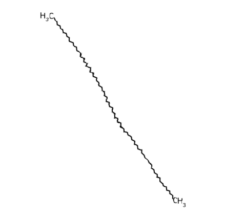 CCCCCCCCCCCCCCCCCCCCCCCCCCCCCCCCCCCCCCCCCCCCCCCCCCCCCCCCCCCCCCCCCCCCCCCCCCCCCCCC